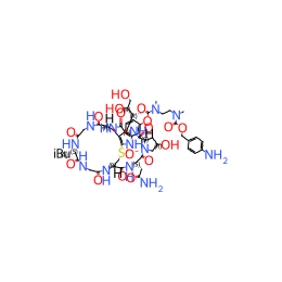 CC[C@H](C)[C@@H]1NC(=O)CNC(=O)[C@H]2Cc3c([nH]c4cc(OC(=O)N(C)CCN(C)C(=O)OCc5ccc(N)cc5)ccc34)[S+]([O-])C[C@H](NC(=O)CNC1=O)C(=O)N[C@@H](CC(N)=O)C(=O)N1C[C@H](O)C[C@H]1C(=O)N[C@@H]([C@@H](C)[C@@H](O)CO)C(=O)N2